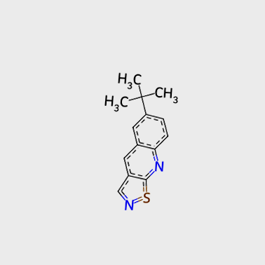 CC(C)(C)c1ccc2nc3sncc3cc2c1